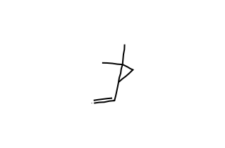 [CH]=CC1CC1(C)C